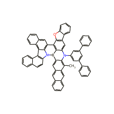 Cc1c2c(cc3cc4ccccc4cc13)B1c3c(cc4c(oc5ccccc54)c3-c3cc4ccccc4c4c5c6ccccc6ccc5n1c34)N2c1cc(-c2ccccc2)cc(-c2ccccc2)c1